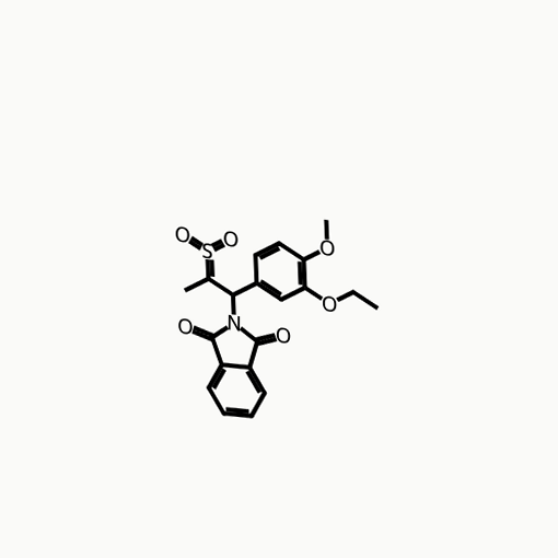 CCOc1cc(C(C(C)=S(=O)=O)N2C(=O)c3ccccc3C2=O)ccc1OC